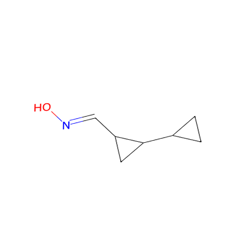 O/N=C/C1CC1C1CC1